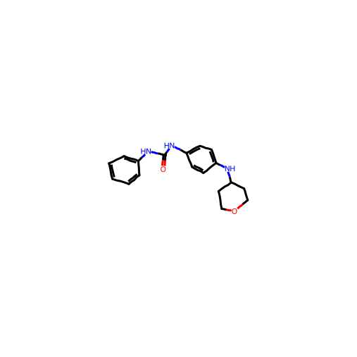 O=C(Nc1ccccc1)Nc1ccc(NC2CCOCC2)cc1